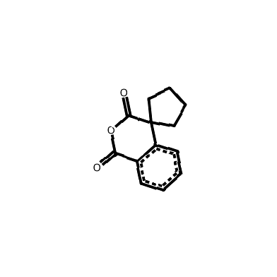 O=C1OC(=O)C2(CCCC2)c2ccccc21